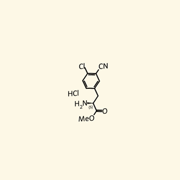 COC(=O)[C@@H](N)Cc1ccc(Cl)c(C#N)c1.Cl